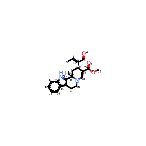 C/C=C(/C=O)[C@@H]1C[C@H]2c3[nH]c4ccccc4c3CCN2C=C1C(=O)OC